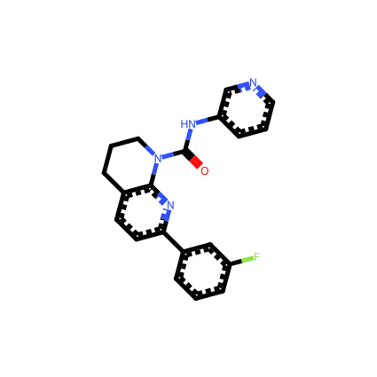 O=C(Nc1cccnc1)N1CCCc2ccc(-c3cccc(F)c3)nc21